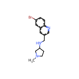 CN1CCC(NCc2cnc3ccc(Br)cc3c2)C1